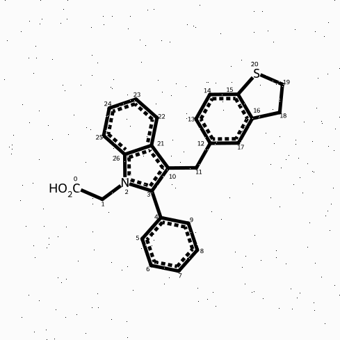 O=C(O)Cn1c(-c2ccccc2)c(Cc2ccc3c(c2)CCS3)c2ccccc21